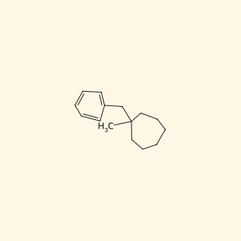 CC1(Cc2ccccc2)CCCCCC1